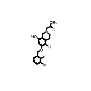 Cc1c(Br)cccc1COc1cc(O)c2c(c1Cl)CCN(CC(=O)OCC(C)C)C2